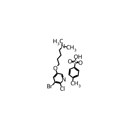 CN(C)CCCCOc1cnc(Cl)c(Br)c1.Cc1ccc(S(=O)(=O)O)cc1